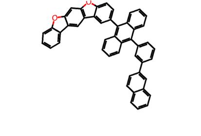 c1cc(-c2ccc3ccccc3c2)cc(-c2c3ccccc3c(-c3ccc4oc5cc6oc7ccccc7c6cc5c4c3)c3ccccc23)c1